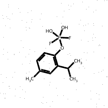 Cc1ccc(OP(O)(O)(F)F)c(C(C)C)c1